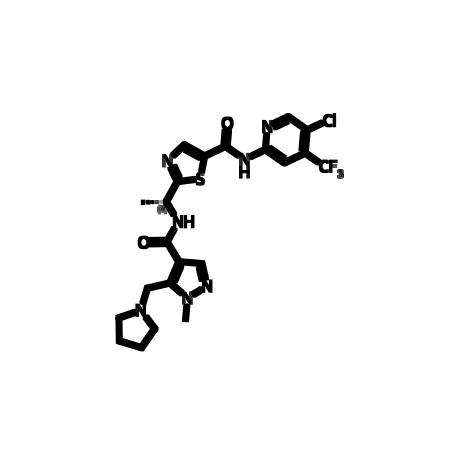 C[C@@H](NC(=O)c1cnn(C)c1CN1CCCC1)c1ncc(C(=O)Nc2cc(C(F)(F)F)c(Cl)cn2)s1